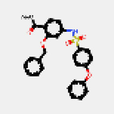 COC(=O)c1ccc(NS(=O)(=O)c2ccc(Oc3ccccc3)cc2)cc1OCc1ccccc1